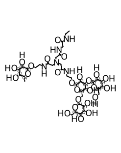 CCNC(=O)CNC(=O)CN(CC(=O)NCCO[C@@H]1O[C@@H](C)[C@@H](O)[C@@H](O)[C@@H]1O)CC(=O)NCCO[C@H]1O[C@H](CO[C@H]2O[C@H](CO)[C@@H](O)[C@H](O)[C@@H]2O)[C@@H](O)[C@H](O[C@H]2O[C@H](CO)[C@@H](O)[C@H](O)[C@@H]2O)[C@@H]1O